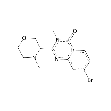 CN1CCOCC1c1nc2cc(Br)ccc2c(=O)n1C